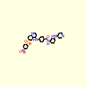 O=C(Nc1cccc(Nc2ccncc2)c1)c1ccc(Nc2ccnc3ccc(S(=O)(=O)c4ccc([N+](=O)[O-])cc4)cc23)cc1